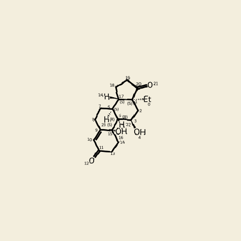 CC[C@]12C[C@@H](O)[C@H]3[C@@H](CCC4=CC(=O)CC[C@@]43O)[C@@H]1CCC2=O